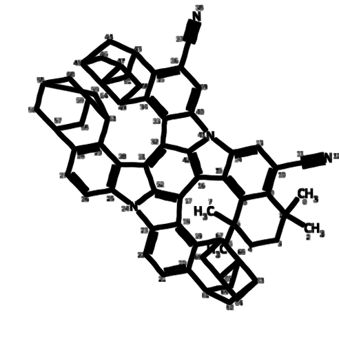 CC1(C)CCC(C)(C)c2c1c(C#N)cc1c2c2c3c4c5c(ccc4n4c6ccc7c(c6c(c6c8c9c(c(C#N)cc8n1c62)C1CC2CC6CC9C26C1)c34)C1CC2CC7CC1C2)C1CC2CC3CC5C23C1